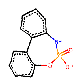 O=P1(O)Nc2ccccc2-c2ccccc2O1